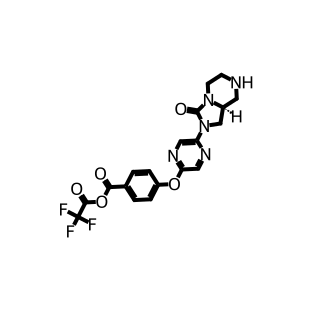 O=C(OC(=O)C(F)(F)F)c1ccc(Oc2cnc(N3C[C@@H]4CNCCN4C3=O)cn2)cc1